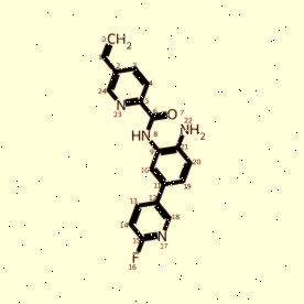 C=Cc1ccc(C(=O)Nc2cc(-c3ccc(F)nc3)ccc2N)nc1